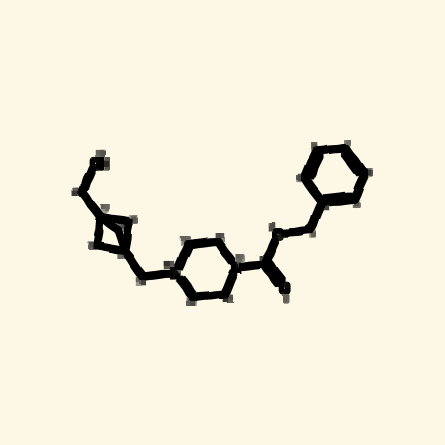 O=C(OCc1ccccc1)N1CCN(CC23CC(CO)(C2)C3)CC1